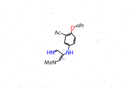 CCCOc1ccc(N/C(C=N)=C/NC)cc1C(C)=O